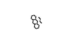 C=CC=C.c1ccc2cc3ccccc3cc2c1